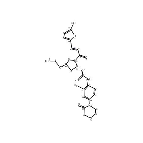 CCO[C@@H]1C[C@@H](OC(=O)Nc2ccc(N3CCOCC3=O)cc2F)N(C(=O)/C=C/c2ccc(Cl)o2)C1